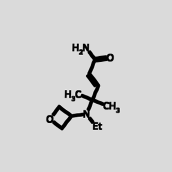 CCN(C1COC1)C(C)(C)/C=C/C(N)=O